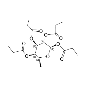 CCC(=O)O[C@H]1O[C@@H](C)[C@@H](OC(=O)CC)[C@@H](OC(=O)CC)[C@@H]1OC(=O)CC